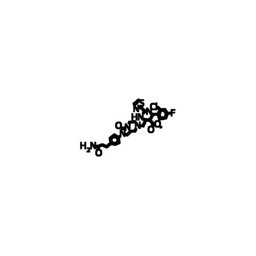 COC(=O)C1=C(CN2CCN3C(=O)N(c4ccc(CCC(N)=O)cc4)CC3C2)NC(c2nccs2)=NC1c1ccc(F)cc1Cl